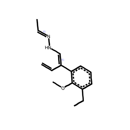 C=C/C(=C\N/N=C/C)c1cccc(CC)c1OC